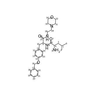 CC(C)CC(N)C(=O)NC(Cc1ccc(OCc2ccccc2)cc1)C(=O)NCCN1CCOCC1